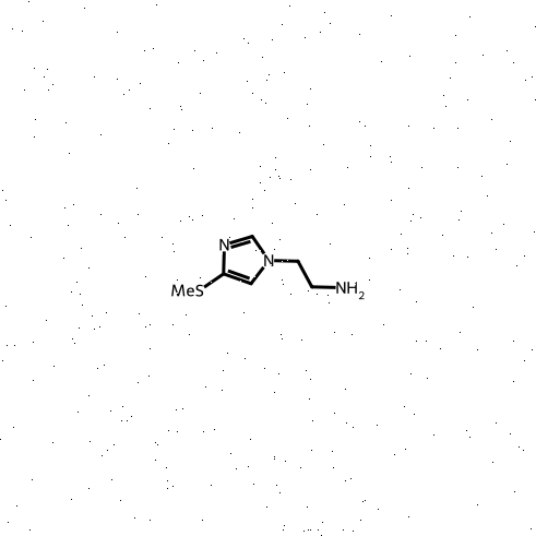 CSc1cn(CCN)cn1